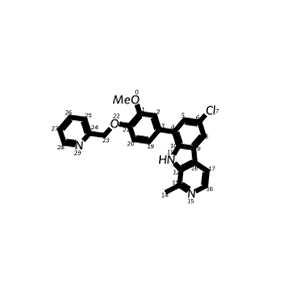 COc1cc(-c2cc(Cl)cc3c2[nH]c2c(C)nccc23)ccc1OCc1ccccn1